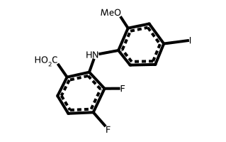 COc1cc(I)ccc1Nc1c(C(=O)O)ccc(F)c1F